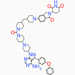 Nc1ncnc2c1c(-c1ccc(Oc3ccccc3)cc1)nn2C1CCN(C2CCN(C(=O)N3CCC(CC4CCN(c5ccc6c(c5)CN(C5CCC(=O)NC5=O)C6=O)CC4)CC3)CC2)CC1